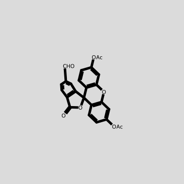 CC(=O)Oc1ccc2c(c1)Oc1cc(OC(C)=O)ccc1C21OC(=O)c2ccc(C=O)cc21